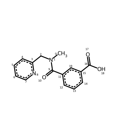 CN(Cc1ccccn1)C(=O)c1cccc(C(=O)O)c1